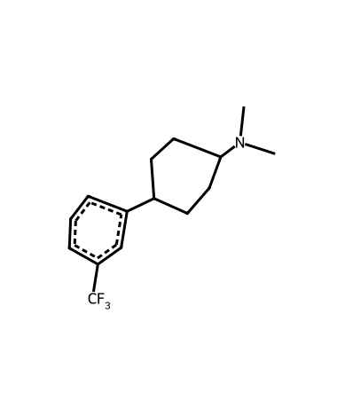 CN(C)C1CCC(c2cccc(C(F)(F)F)c2)CC1